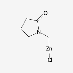 O=C1CCCN1[CH2][Zn][Cl]